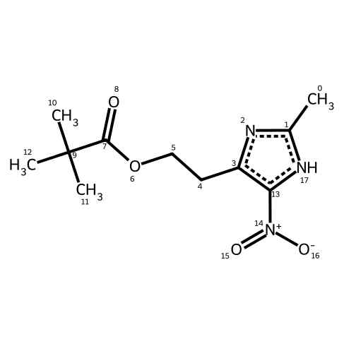 Cc1nc(CCOC(=O)C(C)(C)C)c([N+](=O)[O-])[nH]1